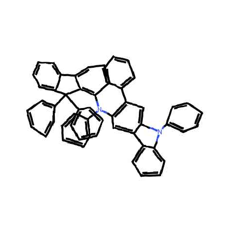 c1ccc(-c2cc3c(cc2N(c2ccccc2)c2cccc4c2C(c2ccccc2)(c2ccccc2)c2ccccc2-4)c2ccccc2n3-c2ccccc2)cc1